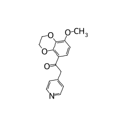 COc1ccc(C(=O)Cc2ccncc2)c2c1OCCO2